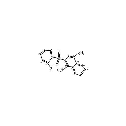 Nc1cc(S(=O)(=O)c2ccccc2Br)c([N+](=O)[O-])c2cccnc12